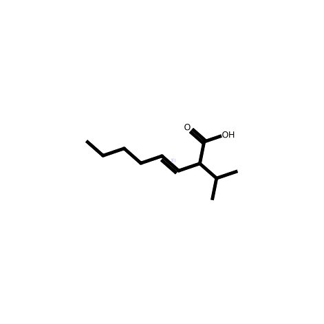 CCCC/C=C/C(C(=O)O)C(C)C